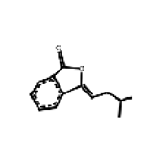 CC(C)CC=C1OC(=O)c2ccccc21